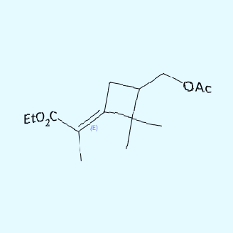 CCOC(=O)/C(C)=C1\CC(COC(C)=O)C1(C)C